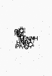 CC(C)CC(Oc1cccc(C(=N)N)c1)C(=O)Nc1ccc(-c2ccccc2S(C)(=O)=O)cc1